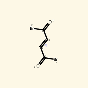 O=C(Br)/C=C/C(=O)Br